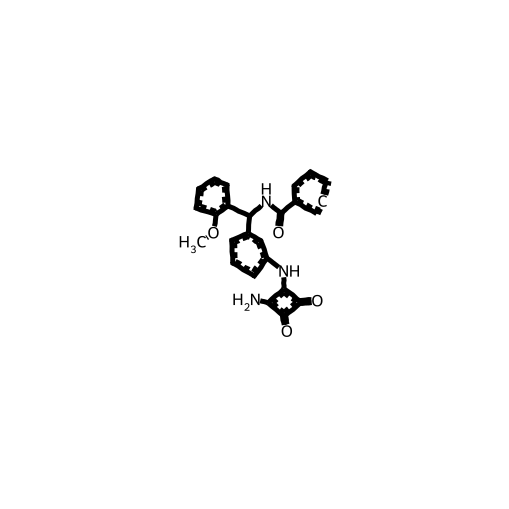 COc1ccccc1C(NC(=O)c1ccccc1)c1cccc(Nc2c(N)c(=O)c2=O)c1